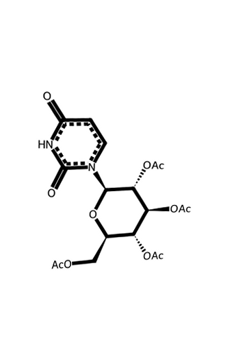 CC(=O)OC[C@H]1O[C@@H](n2ccc(=O)[nH]c2=O)[C@H](OC(C)=O)[C@@H](OC(C)=O)[C@@H]1OC(C)=O